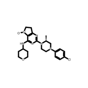 C[C@H]1CN(c2ccc(Cl)cc2)CCN1c1nc2c(c(NC3CCOCC3)n1)[S+]([O-])CC2